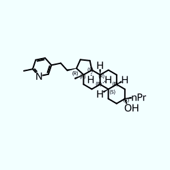 CCC[C@@]1(O)CC[C@H]2[C@H](CC[C@@H]3[C@@H]2CC[C@]2(C)[C@@H](CCc4ccc(C)nc4)CC[C@@H]32)C1